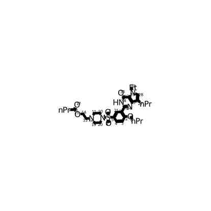 CCCOc1ccc(S(=O)(=O)N2CCN(CCOC(=O)CCC)CC2)cc1-c1nc2c(CCC)cn(CC)c2c(=O)[nH]1